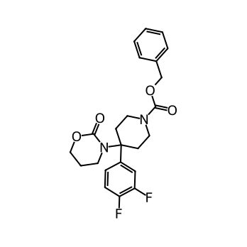 O=C(OCc1ccccc1)N1CCC(c2ccc(F)c(F)c2)(N2CCCOC2=O)CC1